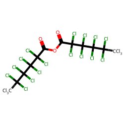 O=C(OC(=O)C(Cl)(Cl)C(Cl)(Cl)C(Cl)(Cl)C(Cl)(Cl)C(Cl)(Cl)Cl)C(Cl)(Cl)C(Cl)(Cl)C(Cl)(Cl)C(Cl)(Cl)C(Cl)(Cl)Cl